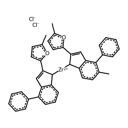 Cc1ccc(C2=Cc3c(-c4ccccc4)cccc3[CH]2[Zr+2][CH]2C(c3ccc(C)o3)=Cc3c2ccc(C)c3-c2ccccc2)o1.[Cl-].[Cl-]